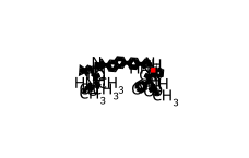 COC(=O)NC(C(=O)N1CC2(CC2)C[C@H]1c1ncc(-c2ccc3cc(-c4ccc(-c5cnc([C@@H]6[C@H]7CC[C@H](C7)N6C(=O)[C@@H](NC(=O)OC)C6CCOCC6)[nH]5)cc4)ccc3c2)[nH]1)C(C)C